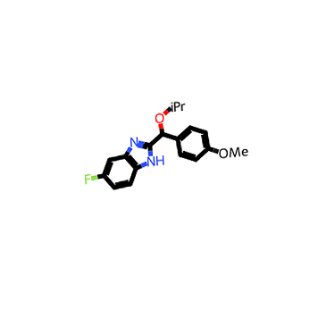 COc1ccc(C(OC(C)C)c2nc3cc(F)ccc3[nH]2)cc1